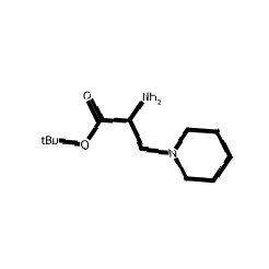 CC(C)(C)OC(=O)C(N)CN1CCCCC1